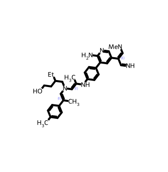 CCC(CCO)CN(/C=C(\C)Nc1ccc(-c2cc(/C(C=N)=C\NC)cnc2N)cc1)/C=C(\C)c1ccc(C)cc1